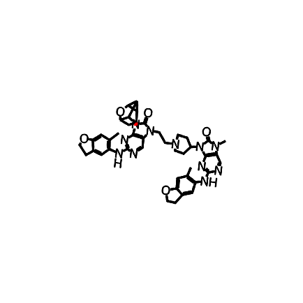 Cc1cc2c(cc1Nc1ncc3c(n1)n(C1CCN(CCn4c(=O)n(C5C6CCC7C(O6)C75)c5nc(Nc6cc7c(cc6C)OCC7)ncc54)CC1)c(=O)n3C)CCO2